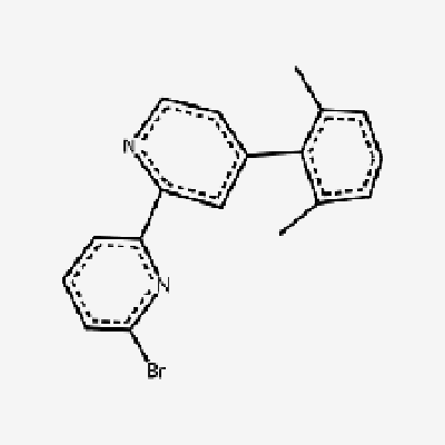 Cc1cccc(C)c1-c1ccnc(-c2cccc(Br)n2)c1